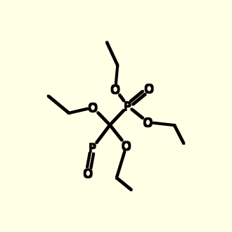 CCOC(OCC)(P=O)P(=O)(OCC)OCC